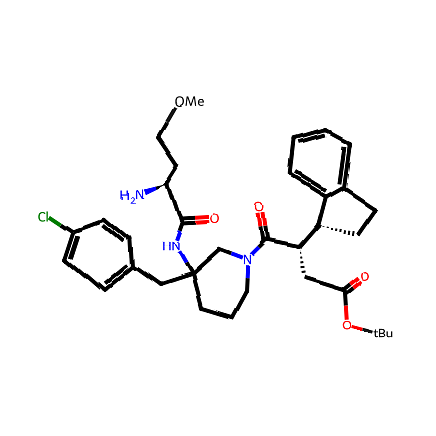 COCC[C@H](N)C(=O)NC1(Cc2ccc(Cl)cc2)CCCN(C(=O)[C@@H](CC(=O)OC(C)(C)C)[C@H]2CCc3ccccc32)C1